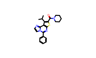 CC(C)c1c(C(=O)N2CCCCC2)sc2nc(-c3ccccc3)n3ccnc3c12